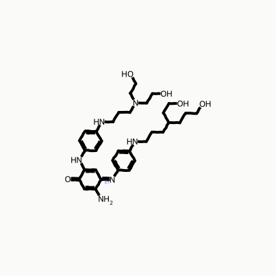 NC1=CC(=O)C(Nc2ccc(NCCCN(CCO)CCO)cc2)=C/C1=N\c1ccc(NCCCC(CCO)CCCO)cc1